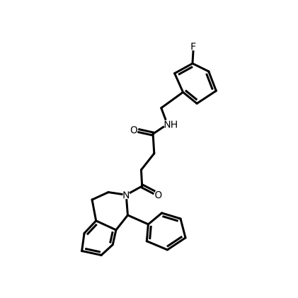 O=C(CCC(=O)N1CCc2ccccc2C1c1ccccc1)NCc1cccc(F)c1